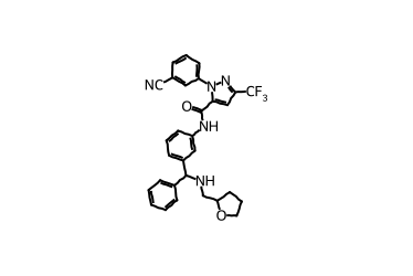 N#Cc1cccc(-n2nc(C(F)(F)F)cc2C(=O)Nc2cccc(C(NCC3CCCO3)c3ccccc3)c2)c1